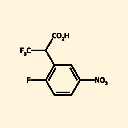 O=C(O)C(c1cc([N+](=O)[O-])ccc1F)C(F)(F)F